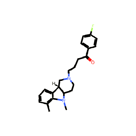 Cc1cccc2c1N(C)C1CCN(CCCC(=O)c3ccc(F)cc3)C[C@@H]21